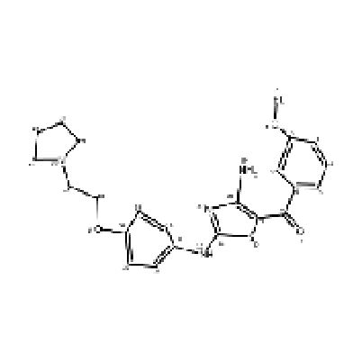 CCOc1cccc(C(=O)c2sc(Nc3ccc(OCCN4CCCC4)cc3)nc2N)c1